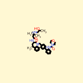 CC(O)CNC(C)(C)CC(=O)NC1CC(C)c2ccccc2N(Cc2ccc(-c3ccccc3NC(=O)N3CCOCC3)cc2)C1=O